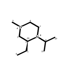 CC[C@H]1CN(C)CCN1C(C)C